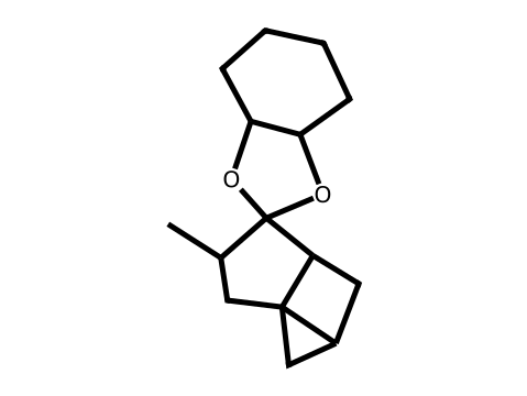 CC1CC23CC2CC3C12OC1CCCCC1O2